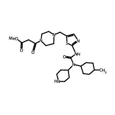 COC(=O)CC(=O)N1CCN(Cc2cnc(NC(=O)N(C3CCNCC3)C3CCC(C)CC3)s2)CC1